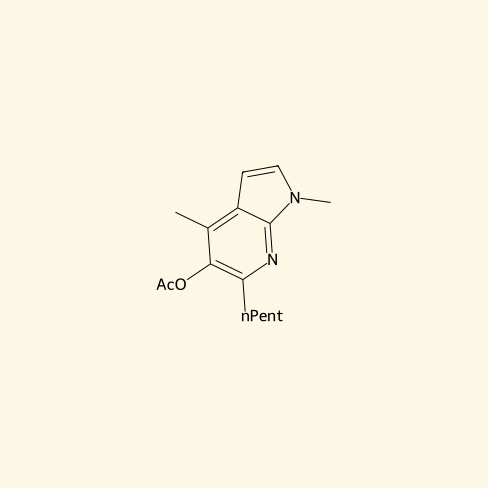 CCCCCc1nc2c(ccn2C)c(C)c1OC(C)=O